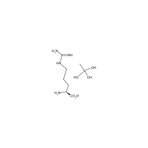 C[Si](O)(O)O.N=C(N)NCCC[C@H](N)C(=O)O